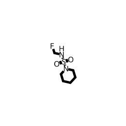 O=S(=O)(NCF)N1CCCCC1